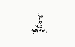 Cl.O.O.[Cl][Mn].[Mn]